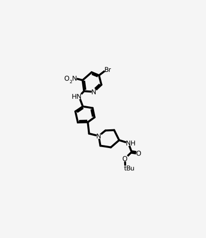 CC(C)(C)OC(=O)NC1CCN(Cc2ccc(Nc3ncc(Br)cc3[N+](=O)[O-])cc2)CC1